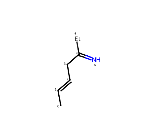 CC=CCC(=N)CC